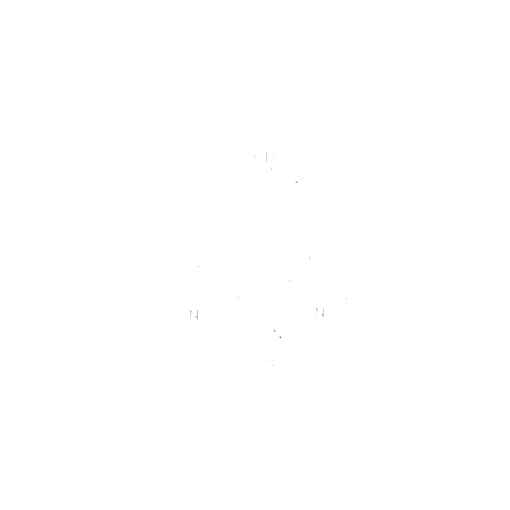 CN(C)C(=O)c1cccc(Oc2cc(COC(N3CC3)[N+]3=CC3)ccc2O)c1